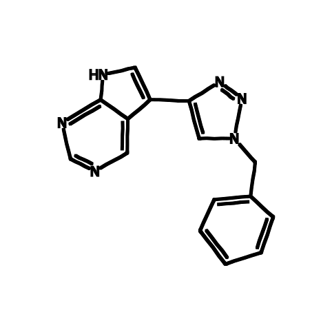 c1ccc(Cn2cc(-c3c[nH]c4ncncc34)nn2)cc1